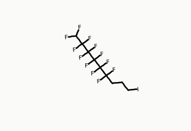 FC(F)C(F)(F)C(F)(F)C(F)(F)C(F)(F)C(F)(F)CCCI